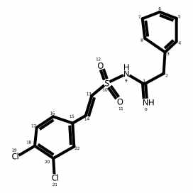 N=C(Cc1ccccc1)NS(=O)(=O)/C=C/c1ccc(Cl)c(Cl)c1